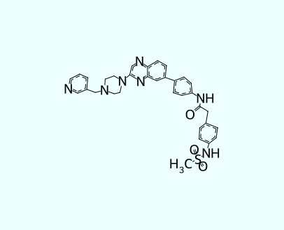 CS(=O)(=O)Nc1ccc(CC(=O)Nc2ccc(-c3ccc4ncc(N5CCN(Cc6cccnc6)CC5)nc4c3)cc2)cc1